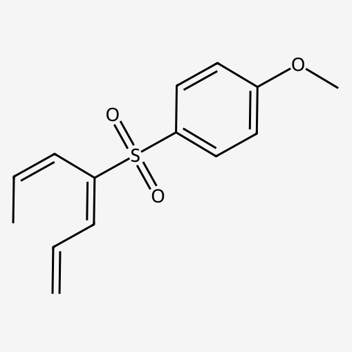 C=C/C=C(\C=C/C)S(=O)(=O)c1ccc(OC)cc1